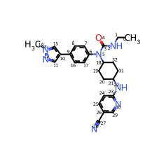 CCNC(=O)N(c1ccc(-c2cnn(C)c2)cc1)C1CCC(Nc2ccc(C#N)cn2)CC1